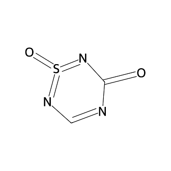 O=C1N=CN=S(=O)=N1